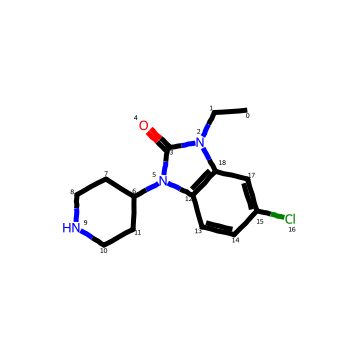 CCn1c(=O)n(C2CCNCC2)c2ccc(Cl)cc21